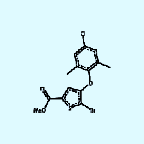 COC(=O)c1cc(Oc2c(C)cc(Cl)cc2C)c(Br)s1